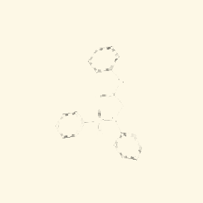 O=C(CN(c1ccccc1)S(=O)(=O)c1ccccc1)Nc1ccccc1